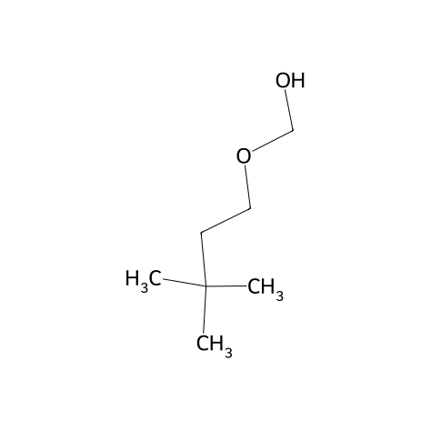 CC(C)(C)CCOCO